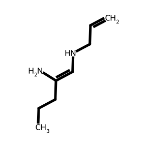 C=CCN/C=C(\N)CCC